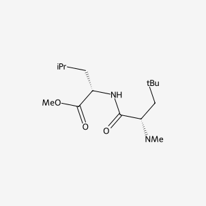 CN[C@@H](CC(C)(C)C)C(=O)N[C@@H](CC(C)C)C(=O)OC